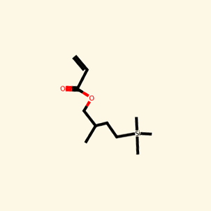 C=CC(=O)OCC(C)CC[Si](C)(C)C